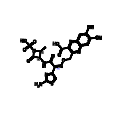 C[C@H]1[C@@H](NC(=O)/C(=N\OCc2nc3cc(O)c(O)cc3nc2C(=O)O)c2csc(N)n2)C(=O)N1S(=O)(=O)O